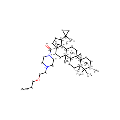 COCCOCCN1CCN(C(=O)[C@]23CC[C@@H](C4(C)CC4)[C@@H]2[C@H]2CC[C@@H]4[C@@]5(C)CC[C@H](OC(C)=O)C(C)(C)[C@@H]5CC[C@@]4(C)[C@]2(C)CC3)CC1